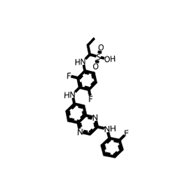 CCC(Nc1ccc(F)c(Nc2ccc3ncc(Nc4ccccc4F)nc3c2)c1F)S(=O)(=O)O